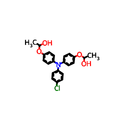 CC(O)Oc1ccc(N(c2ccc(Cl)cc2)c2ccc(OC(C)O)cc2)cc1